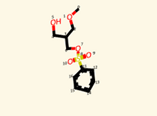 COCC(CO)COS(=O)(=O)c1ccccc1